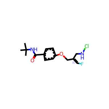 CC(C)(C)NC(=O)c1ccc(OC/C(=C/F)CNCl)cc1